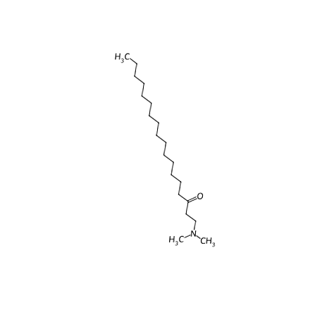 CCCCCCCCCCCCCCCC(=O)CCN(C)C